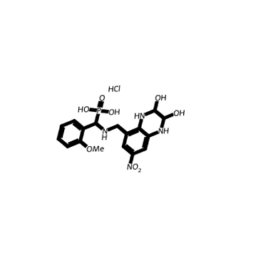 COc1ccccc1C(NCc1cc([N+](=O)[O-])cc2c1NC(O)C(O)N2)P(=O)(O)O.Cl